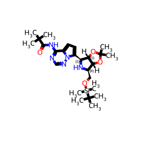 CC1(C)O[C@@H]2[C@H](O1)[C@@H](CO[Si](C)(C)C(C)(C)C)N[C@H]2c1ccc2c(NC(=O)C(C)(C)C)ncnn12